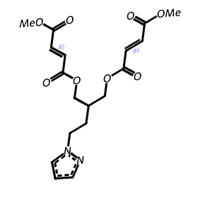 COC(=O)/C=C/C(=O)OCC(CCn1cccn1)COC(=O)/C=C/C(=O)OC